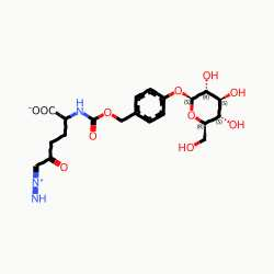 N=[N+]=CC(=O)CCC(NC(=O)OCc1ccc(O[C@@H]2O[C@H](CO)[C@@H](O)[C@H](O)[C@H]2O)cc1)C(=O)[O-]